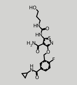 NC(=O)c1c(OCc2cc(C(=O)NC3CC3)ccc2F)nsc1NC(=O)NCCCO